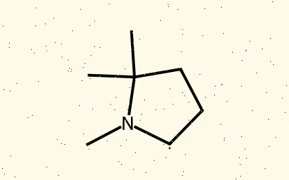 CN1[CH]CCC1(C)C